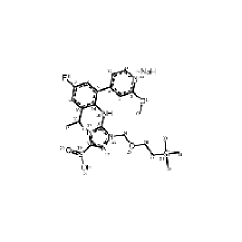 COc1cc(-c2cc(F)cc(C(C)C)c2Nc2nc(S(=O)O)nn2COCC[Si](C)(C)C)ccn1.[NaH]